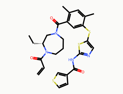 C=CC(=O)N1CCCN(C(=O)c2cc(Sc3cnc(NC(=O)c4ccsc4)s3)c(C)cc2C)C[C@H]1CC